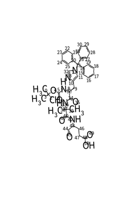 CC(C)(C)OC(=O)N[C@@H](Cc1cn(C(c2ccccc2)(c2ccccc2)c2ccccc2)cn1)C(=O)NC(C)(C)C(=O)NC(C=O)CCC(=O)O